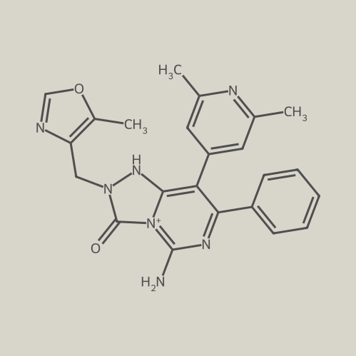 Cc1cc(-c2c(-c3ccccc3)nc(N)[n+]3c(=O)n(Cc4ncoc4C)[nH]c23)cc(C)n1